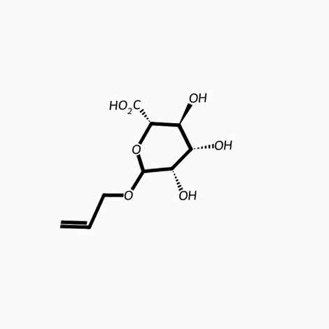 C=CCOC1O[C@H](C(=O)O)[C@@H](O)[C@H](O)[C@@H]1O